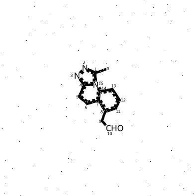 Cc1nnc2ccc3c(CC=O)cccc3n12